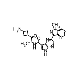 C[C@@H](NC(=O)c1c[nH]c2ncc(-c3nn(C)c4cccnc34)nc12)C(=O)N1CC(N)C1